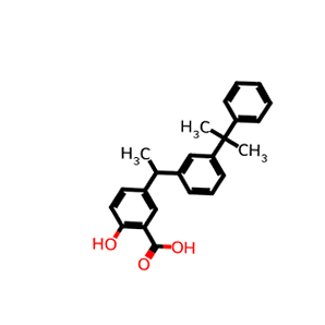 CC(c1cccc(C(C)(C)c2ccccc2)c1)c1ccc(O)c(C(=O)O)c1